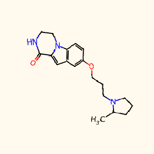 CC1CCCN1CCCOc1ccc2c(c1)cc1n2CCNC1=O